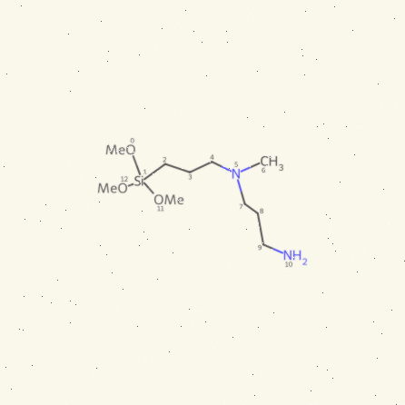 CO[Si](CCCN(C)CCCN)(OC)OC